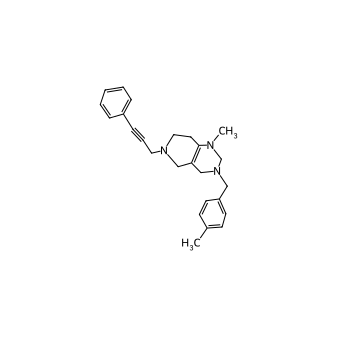 Cc1ccc(CN2CC3=C(CCN(CC#Cc4ccccc4)C3)N(C)C2)cc1